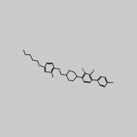 CCCCCOc1ccc(OCC2CCC(c3ccc(-c4ccc(C)cc4)c(F)c3F)CC2)c(F)c1